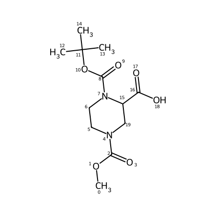 COC(=O)N1CCN(C(=O)OC(C)(C)C)C(C(=O)O)C1